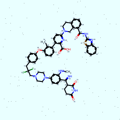 CNc1cc(N2CCN(CC(F)(F)Cc3ccc(Oc4cccc(-c5ccc(N6CCc7cccc(C(=O)Nc8nc9ccccc9s8)c7C6)nc5C(=O)O)c4C)cc3)CC2)ccc1C(=N)C1CCC(=O)NC1=O